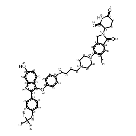 O=C1CCC(N2Cc3cc(N4CCN(CCCOc5ccc(Oc6c(-c7ccc(OC(F)(F)F)cc7)sc7cc(O)ccc67)cc5)CC4)c(F)cc3C2=O)C(=O)N1